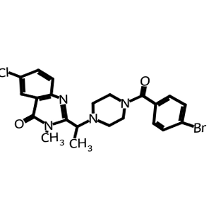 CC(c1nc2ccc(Cl)cc2c(=O)n1C)N1CCN(C(=O)c2ccc(Br)cc2)CC1